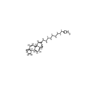 CCCCCCCCCCc1cc2c(ccc3c4ccsc4ccc23)s1